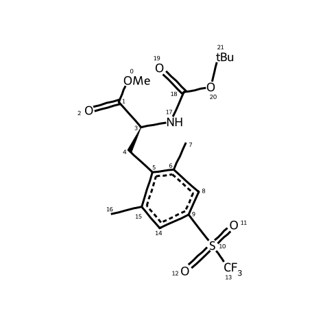 COC(=O)[C@H](Cc1c(C)cc(S(=O)(=O)C(F)(F)F)cc1C)NC(=O)OC(C)(C)C